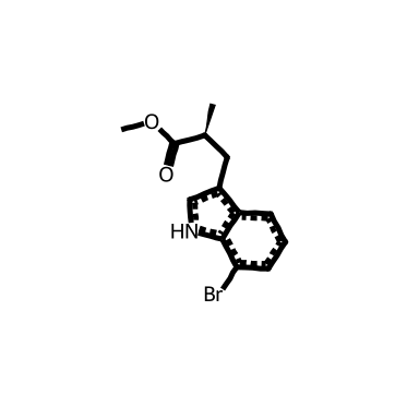 COC(=O)[C@@H](C)Cc1c[nH]c2c(Br)cccc12